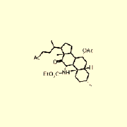 CCOC(=O)N[C@@H]1C(=O)[C@@]2(C)C(CCC2[C@H](C)CCC(C)=O)C2C1[C@@]1(C)CC[C@@H](C)C[C@H]1C[C@H]2OC(C)=O